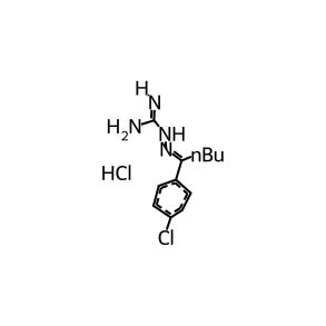 Cl.[H]/N=C(\N)NN=C(CCCC)c1ccc(Cl)cc1